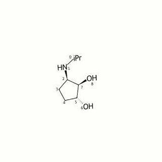 CC(C)N[C@@H]1CC[C@@H](O)[C@@H]1O